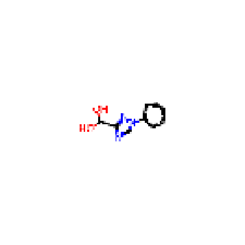 OC(O)c1ncn(-c2ccccc2)n1